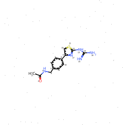 CC(=O)NCc1ccc(-c2csc(NC(=N)N)n2)cc1